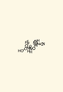 O=C(Nc1cccc(-c2cn3ccnc3c([AsH]Cc3ccncc3)n2)c1)Nc1cc(C(F)(F)F)ccc1OCCO